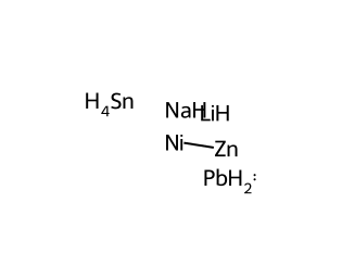 [LiH].[NaH].[Ni][Zn].[PbH2].[SnH4]